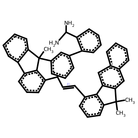 CC1(C)c2cc3ccccc3cc2-c2c(/C=C/Cc3cccc4c3C(C)(c3cccc(-c5ccccc5C(N)N)c3)c3ccccc3-4)cccc21